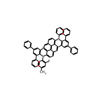 Cc1ccc(N(c2c(F)cc(-c3ccccc3)cc2-c2ccccc2)c2ccc3ccc4c(N(c5ccccc5)c5c(F)cc(-c6ccccc6)cc5-c5ccccc5)ccc5ccc2c3c54)c(F)c1